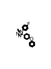 Cc1nnc([C@H]2CC[C@H](Oc3ccccc3)CC2)n1-c1ccc(F)cc1